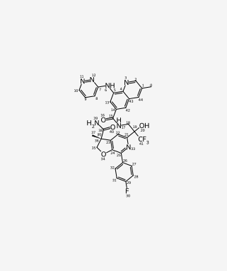 Cc1cnc2c(Nc3cccnn3)cc(C(=O)NCC(O)(c3cc4c(c(-c5ccc(F)cc5)n3)OC[C@]4(C)C(N)=O)C(F)(F)F)cc2c1